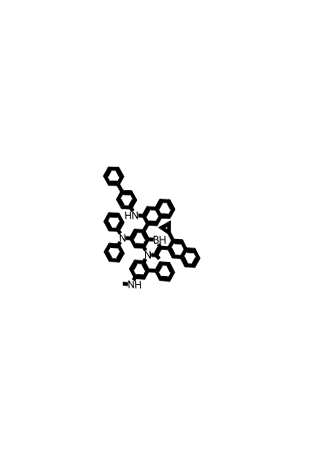 CNc1ccc(N2C(C)=C(c3cc4ccccc4cc3C3CC3)Bc3c(-c4cc5ccccc5cc4Nc4ccc(-c5ccccc5)cc4)cc(N(c4ccccc4)c4ccccc4)cc32)c(-c2ccccc2)c1